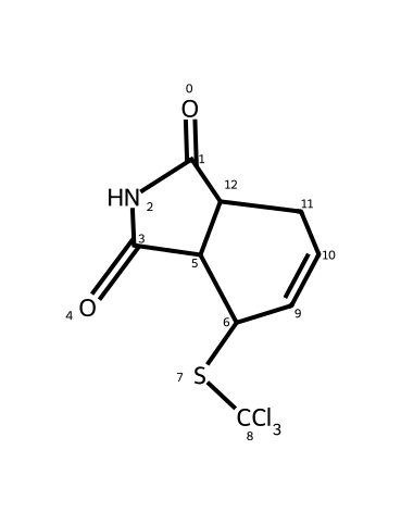 O=C1NC(=O)C2C(SC(Cl)(Cl)Cl)C=CCC12